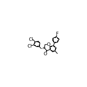 Cc1cc2c(c(-c3ccc(F)cc3)c1)OC[C@@H](Cc1ccc(Cl)c(Cl)c1)C2=O